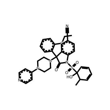 CCOc1ccccc1C1(N2CCN(c3ccncc3)CC2)C(=O)N(S(=O)(=O)C2(O)C=CC=CC2C)c2ccc(C#N)cc21